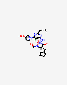 CCc1nc(NNC(=O)[C@@H](CC2CCCC2)CN(O)C=O)c(F)c(N2CC[C@@H](O)C2)n1